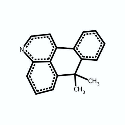 CC1(C)c2ccccc2-c2ccnc3cccc1c23